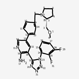 COC[C@H]1CCCN1Cc1ccc(-c2cnc(N)c(-c3nnnn3-c3cccc(F)c3F)c2)cc1